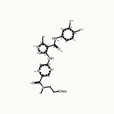 COCCN(C)C(=O)c1cnc(Nc2snc(C)c2C(=O)Nc2ccc(F)c(F)c2)cn1